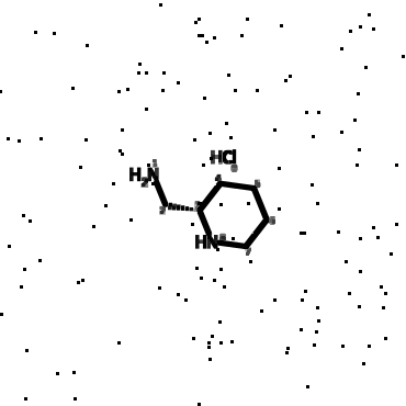 Cl.NC[C@@H]1CCCCN1